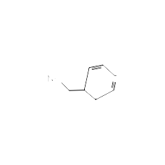 N#CCC1C=CI=CC1